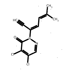 C#C/C(=C\C=C(C)C)n1ncc(Cl)c(Cl)c1=O